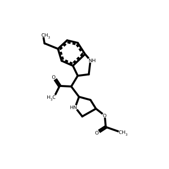 CCc1ccc2c(c1)C(C(C(C)=O)C1CC(OC(C)=O)CN1)CN2